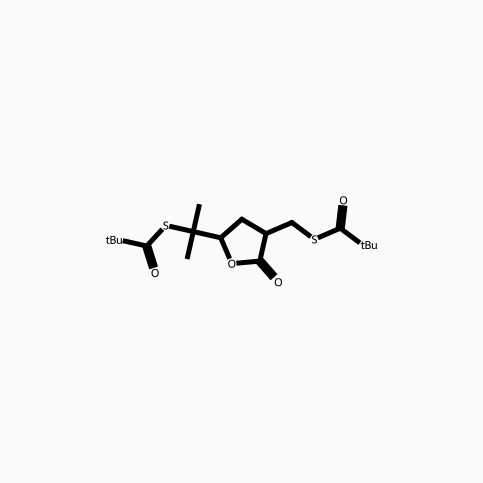 CC(C)(C)C(=O)SCC1CC(C(C)(C)SC(=O)C(C)(C)C)OC1=O